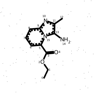 CCOC(=O)c1cccc2nc(C)c(N)n12